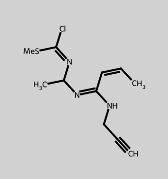 C#CCNC(/C=C\C)=N/C(C)/N=C(/Cl)SC